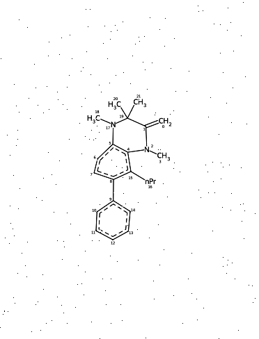 C=C1N(C)c2c(ccc(-c3ccccc3)c2CCC)N(C)C1(C)C